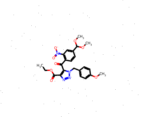 CCOC(=O)c1nnn(Cc2ccc(OC)cc2)c1C(=O)c1ccc(C(OC)OC)cc1[N+](=O)[O-]